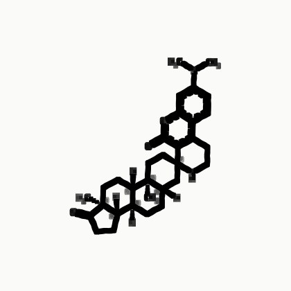 CN(C)c1ccc2c3c(c(=O)oc2c1)[C@]1(CC[C@@]2(C)[C@@H](CC[C@@H]4[C@@H]2CC[C@]2(C)C(=O)CC[C@@H]42)C1)NCC3